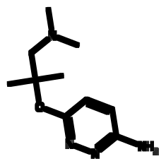 CN(C)CC(C)(C)Oc1ccc(N)nn1